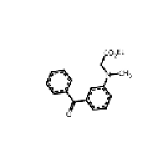 CCOC(=O)CN(C)c1cccc(C(=O)c2ccccc2)c1